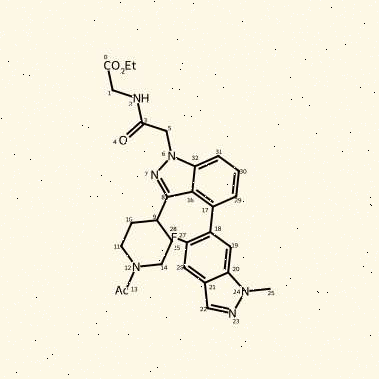 CCOC(=O)CNC(=O)Cn1nc(C2CCN(C(C)=O)CC2)c2c(-c3cc4c(cnn4C)cc3F)cccc21